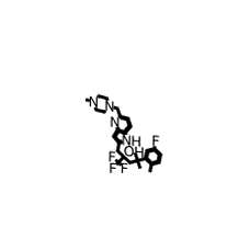 Cc1ccc(F)cc1C(C)(C)CC(O)(Cc1cc2nc(CN3CCN(C)CC3)ccc2[nH]1)C(F)(F)F